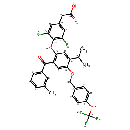 Cc1cccc(C(=O)c2cc(OCc3ccc(OC(F)(F)F)cc3)c(C(C)C)cc2Oc2c(Br)cc(CC(=O)O)cc2Br)c1